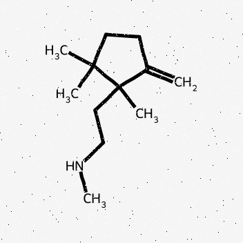 C=C1CCC(C)(C)C1(C)CCNC